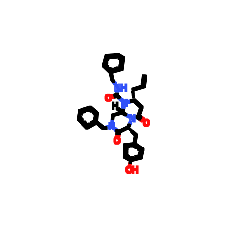 C=CC[C@@H]1CC(=O)N2[C@H](CN(Cc3ccccc3)C(=O)[C@@H]2Cc2ccc(O)cc2)N1C(=O)NCc1ccccc1